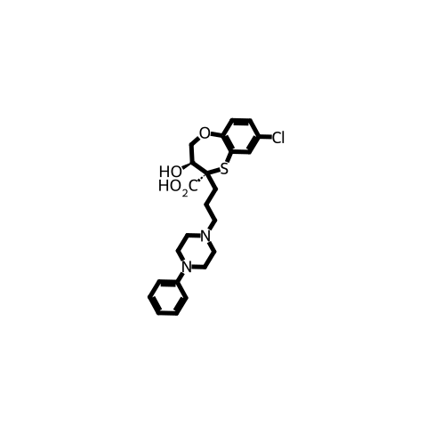 O=C(O)[C@@]1(CCCN2CCN(c3ccccc3)CC2)Sc2cc(Cl)ccc2OC[C@@H]1O